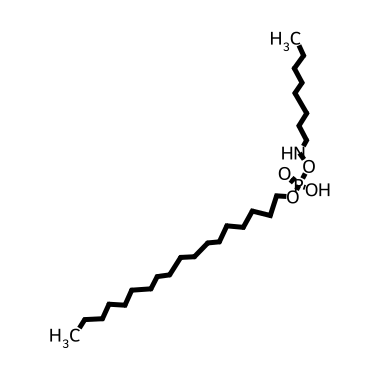 CCCCCCCCCCCCCCCCCCOP(=O)(O)ONCCCCCCCC